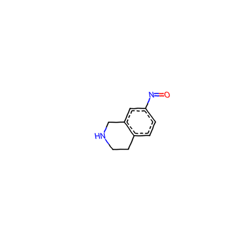 O=Nc1ccc2c(c1)CNCC2